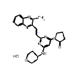 Cc1nc2ccccc2nc1/C=C/c1nc(NC2CCOCC2)cc(N2CCCC2=O)n1.Cl